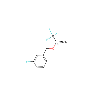 C[C@@H](OCc1cccc(F)c1)C(F)(F)F